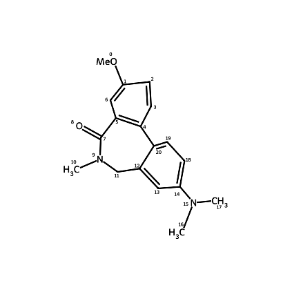 COc1ccc2c(c1)C(=O)N(C)Cc1cc(N(C)C)ccc1-2